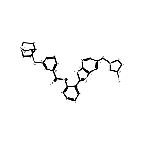 O=C(Nc1ccccc1-c1nc2cc(CN3CCC(F)C3)cnc2s1)c1cccc(OC2CN3CCC2CC3)c1